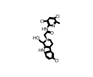 Cc1nc(NC(=O)CN2CCc3c([nH]c4ccc(Cl)cc34)C2CO)c(Cl)cc1Cl